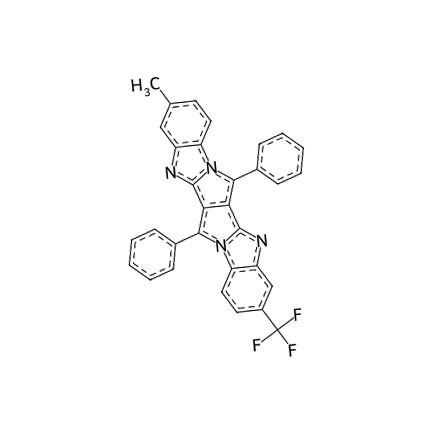 Cc1ccc2c(c1)nc1c3c(-c4ccccc4)n4c5ccc(C(F)(F)F)cc5nc4c3c(-c3ccccc3)n21